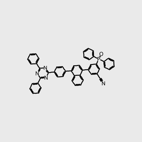 N#Cc1cc(-c2ccc(-c3ccc(-c4nc(-c5ccccc5)nc(-c5ccccc5)n4)cc3)c3ccccc23)cc(P(=O)(c2ccccc2)c2ccccc2)c1